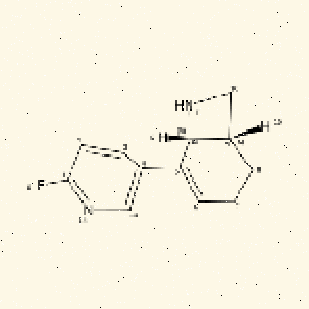 Fc1ccc(C2=CCC[C@H]3CN[C@@H]23)cn1